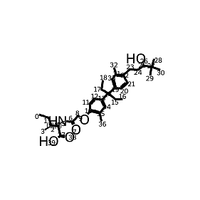 CC[C@H](C)[C@H](NC(=O)COc1ccc(C(CC)(CC)c2ccc(CCC(O)C(C)(C)C)c(C)c2)cc1C)C(=O)O